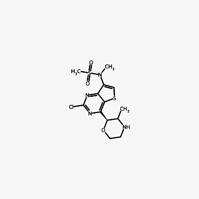 CC1NCCO[C@H]1c1nc(Cl)nc2c(N(C)S(C)(=O)=O)csc12